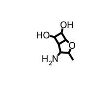 CC1OC2C(O)C(O)C2C1N